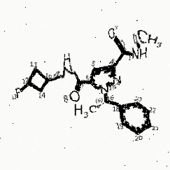 CNC(=O)c1cc(C(=O)NC2CC(F)C2)n([C@@H](C)c2ccccc2)n1